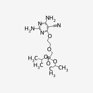 CC(C)OP(=O)(COCCOc1nc(N)nc(N)c1C#N)OC(C)C